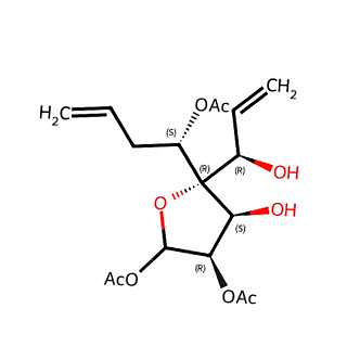 C=CC[C@H](OC(C)=O)[C@]1([C@H](O)C=C)OC(OC(C)=O)[C@H](OC(C)=O)[C@@H]1O